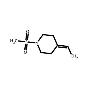 [CH2]C=C1CCN(S(C)(=O)=O)CC1